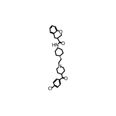 O=C(N[C@H]1CC[C@H](CCN2CCC(C(=O)c3ccc(Cl)cc3)CC2)CC1)C1COc2ccccc2C1